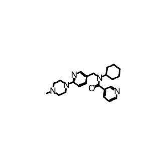 CN1CCN(c2ccc(CN(C(=O)c3cccnc3)C3CCCCC3)cn2)CC1